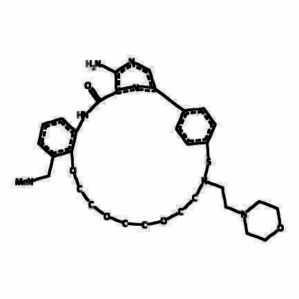 CNCc1cccc2c1OCCOCCOCCN(CCN1CCOCC1)Sc1ccc(cc1)-c1cnc(N)c(n1)C(=O)N2